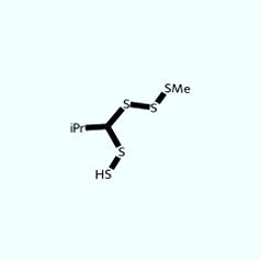 CSSSC(SS)C(C)C